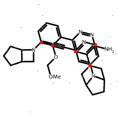 COCOc1ccccc1-c1cc(N2CC3CCC(C2)N3c2ccnc(C#CCN3CC4CCCC43)c2)c(N)nn1